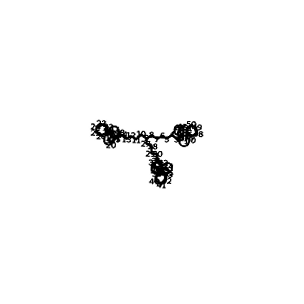 CO[Si](CCCCCCC(CCCCCC[Si](OC)(OC)c1ccccc1)CCCCCC[Si](OC)(OC)c1ccccc1)(OC)c1ccccc1